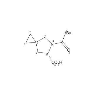 CC(C)(C)C(=O)N1CC2(CC2)C[C@H]1C(=O)O